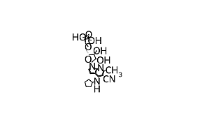 Cc1nc2c(ccn2[C@@H]2O[C@H](COCP(=O)(O)O)[C@@H](O)[C@H]2O)c(NC2CCCC2)c1C#N